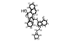 Cc1cccc2c1c(Cc1c(-c3ccc4ccccc4c3C(=O)O)nc3ccccn13)cn2CCN1CCCC1